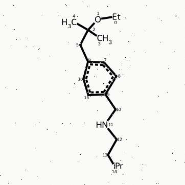 CCOC(C)(C)Cc1ccc(CNCCC(C)C)cc1